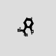 CC[C](CC)c1ccccc1Cl